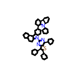 C1=CC2c3cccc(-c4ccc5c(c4)c4c6ccccc6ccc4n5-c4nc(-c5ccccc5)c5sc(-c6ccccc6)c(-c6ccccc6)c5n4)c3N(c3ccccc3)C2C=C1